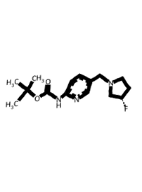 CC(C)(C)OC(=O)Nc1ccc(CN2CC[C@H](F)C2)cn1